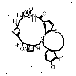 CO[C@H]1C2=C[C@H](C2)C[C@@H](C)S(=O)(=O)NC(=O)c2ccc3c(c2)N(Cc2ccc(Cl)c(F)c2CCCCS3)C[C@@H]2CC[C@H]21